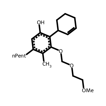 CCCCCc1cc(O)c(C2C=CCCC2)c(OCOCCOC)c1C